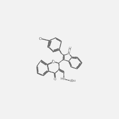 CC(C)(C)N/C=C1\C(=O)c2ccccc2OC1c1c(-c2ccc(Cl)cc2)[nH]c2ccccc12